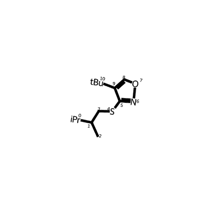 CC(C)C(C)CSc1nocc1C(C)(C)C